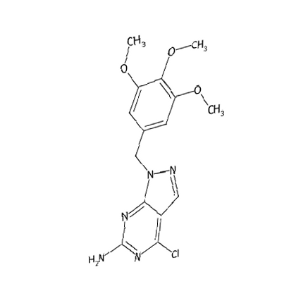 COc1cc(Cn2ncc3c(Cl)nc(N)nc32)cc(OC)c1OC